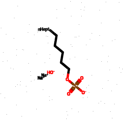 CCCCCCCCCCCCOS(=O)(=O)[O-].[Na+].[Na+].[OH-]